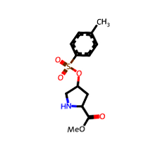 COC(=O)C1CC(OS(=O)(=O)c2ccc(C)cc2)CN1